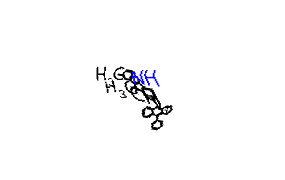 Cc1ccc2[nH]c3c(c2c1)C(C)(C)c1cc(-c2c4ccccc4c(-c4ccccc4)c4ccccc24)ccc1-3